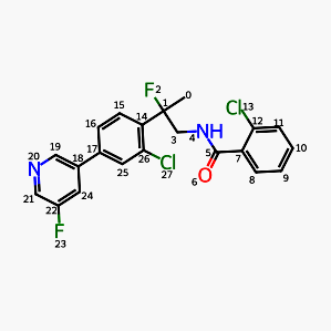 CC(F)(CNC(=O)c1ccccc1Cl)c1ccc(-c2cncc(F)c2)cc1Cl